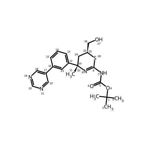 CC(C)(C)OC(=O)NC1=N[C@](C)(c2cccc(-c3cncnc3)c2)C[C@@H](CO)S1